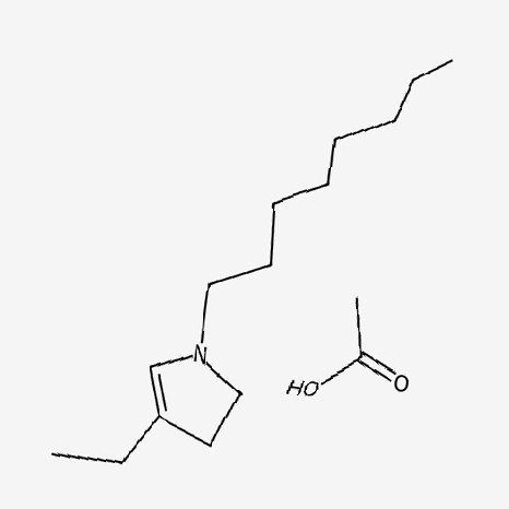 CC(=O)O.CCCCCCCCN1C=C(CC)CC1